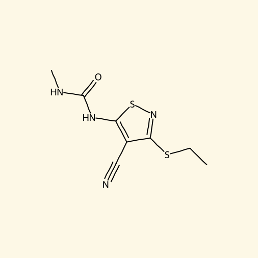 CCSc1nsc(NC(=O)NC)c1C#N